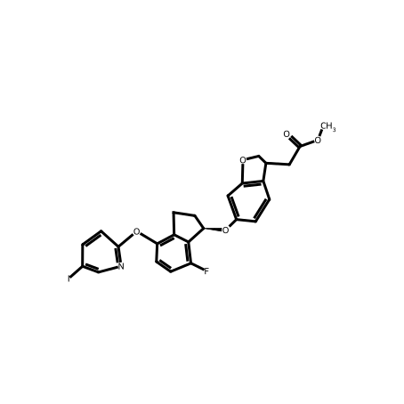 COC(=O)CC1COc2cc(O[C@@H]3CCc4c(Oc5ccc(I)cn5)ccc(F)c43)ccc21